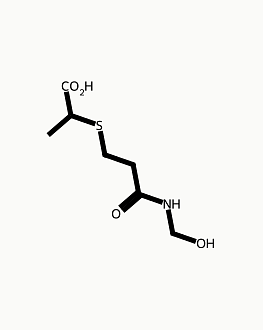 CC(SCCC(=O)NCO)C(=O)O